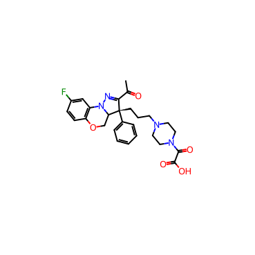 CC(=O)C1=NN2c3cc(F)ccc3OCC2[C@@]1(CCCN1CCN(C(=O)C(=O)O)CC1)c1ccccc1